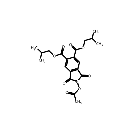 CC(=O)ON1C(=O)c2cc(C(=O)OCC(C)C)c(C(=O)OCC(C)C)cc2C1=O